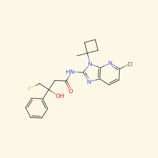 CC1(n2c(NC(=O)CC(O)(CF)c3ccccc3)nc3ccc(Cl)nc32)CCC1